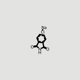 O=C1NC(=O)c2ccccc21.[Na][Cl]